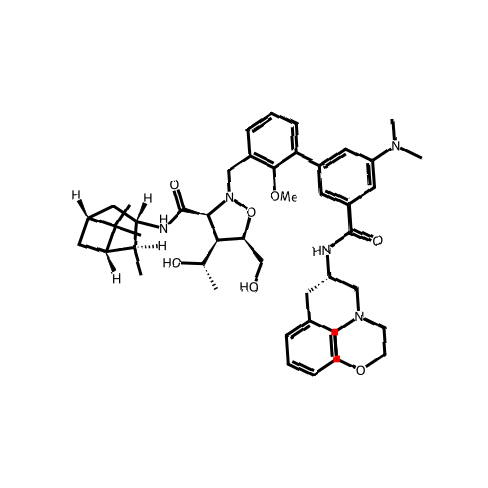 COc1c(CN2O[C@@H](CO)[C@@H]([C@H](C)O)[C@H]2C(=O)N[C@H]2C[C@H]3C[C@@H]([C@@H]2C)C3(C)C)cccc1-c1cc(C(=O)N[C@@H](Cc2ccccc2)CN2CCOCC2)cc(N(C)C)c1